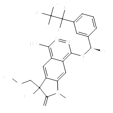 COCC1(C)C(=O)N(C)c2cc3c(N[C@H](C)c4cccc(C(F)(F)C(C)(C)O)c4)nnc(C)c3cc21